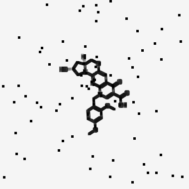 COc1ccc(Cn2cc(C(=O)O)c(=O)c3cc4c(nc32)N2C[C@H](O)C[C@H]2CO4)c(OC)c1